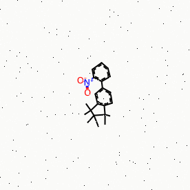 CC1(C)c2ccc(-c3ccccc3[N+](=O)[O-])cc2C(C)(C)C1(C)C